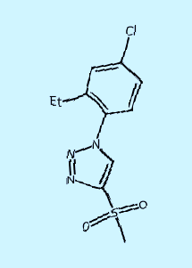 CCc1cc(Cl)ccc1-n1cc(S(C)(=O)=O)nn1